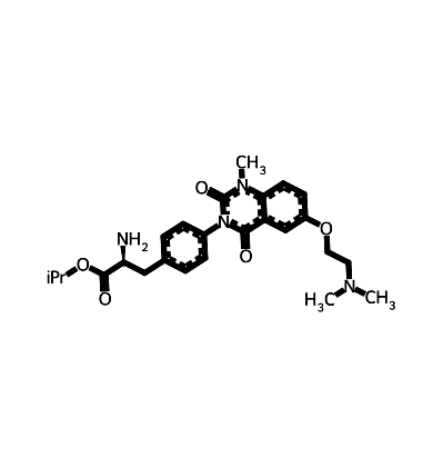 CC(C)OC(=O)[C@@H](N)Cc1ccc(-n2c(=O)c3cc(OCCN(C)C)ccc3n(C)c2=O)cc1